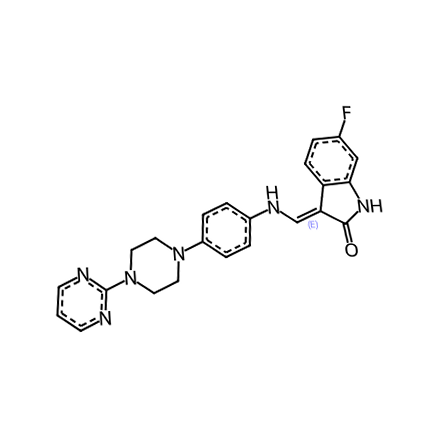 O=C1Nc2cc(F)ccc2/C1=C\Nc1ccc(N2CCN(c3ncccn3)CC2)cc1